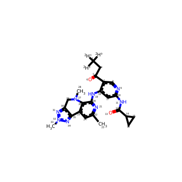 [2H]C([2H])([2H])CC(=O)c1cnc(NC(=O)C2CC2)cc1Nc1nc(C)cc2c1N(C)Cc1nn(C)nc1-2